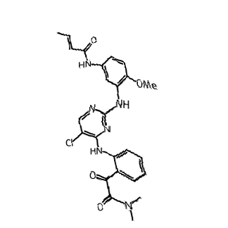 C/C=C/C(=O)Nc1ccc(OC)c(Nc2ncc(Cl)c(Nc3ccccc3C(=O)C(=O)N(C)C)n2)c1